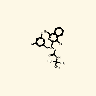 CC(C)(C)NC(=O)O[C@@H](Cc1cc(F)cc(F)c1)c1nc(Br)c2ccccc2c1Br